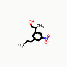 CCCc1cc([C](C)CO)cc([N+](=O)[O-])c1